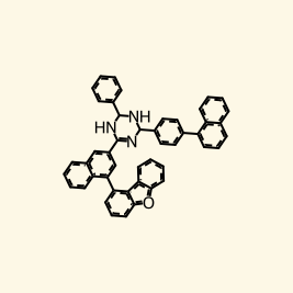 c1ccc(C2NC(c3cc(-c4cccc5oc6ccccc6c45)c4ccccc4c3)=NC(c3ccc(-c4cccc5ccccc45)cc3)N2)cc1